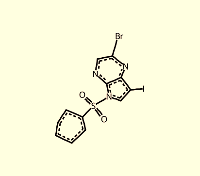 O=S(=O)(c1ccccc1)n1cc(I)c2nc(Br)cnc21